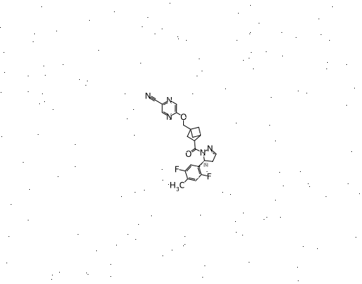 Cc1cc(F)c([C@@H]2CC=NN2C(=O)C2CC3(COc4cnc(C#N)cn4)CC2C3)cc1F